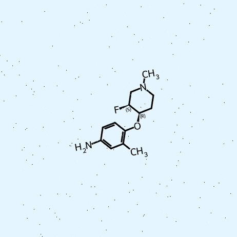 Cc1cc(N)ccc1O[C@@H]1CCN(C)C[C@@H]1F